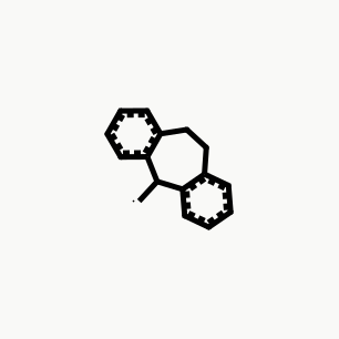 [CH2]C1c2ccccc2CCc2ccccc21